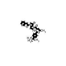 CCCC(NC(=O)c1ccc(C(C)(C)C)cc1)C(=O)N1CCC2C1C(=O)CN2C(=O)Cc1cccnc1